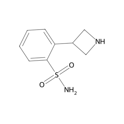 NS(=O)(=O)c1ccccc1C1CNC1